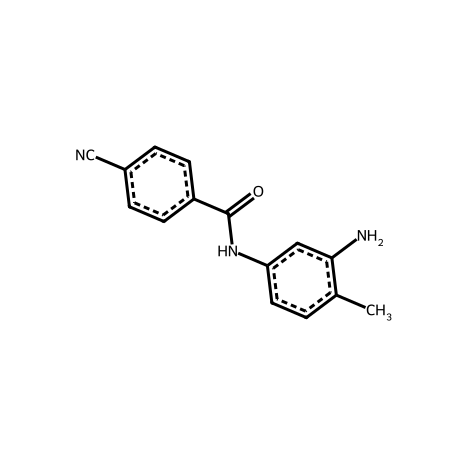 Cc1ccc(NC(=O)c2ccc(C#N)cc2)cc1N